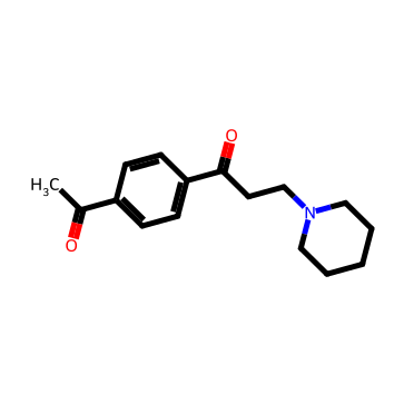 CC(=O)c1ccc(C(=O)CCN2CCCCC2)cc1